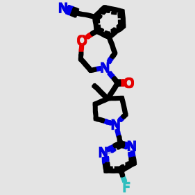 CC1(C(=O)N2CCOc3c(C#N)cccc3C2)CCN(c2ncc(F)cn2)CC1